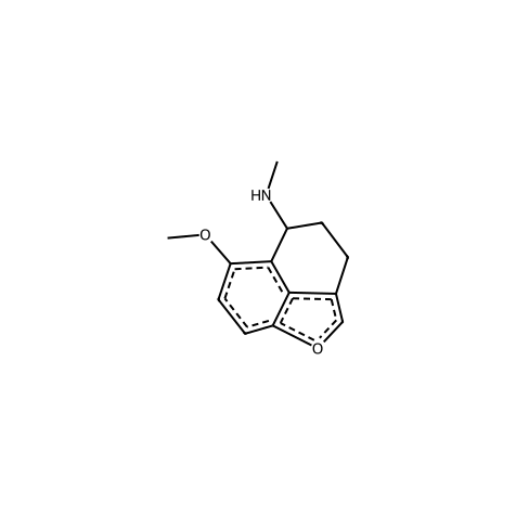 CNC1CCc2coc3ccc(OC)c1c23